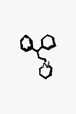 c1ccc(C(CCN2CCCCC2)C2CCCCC2)cc1